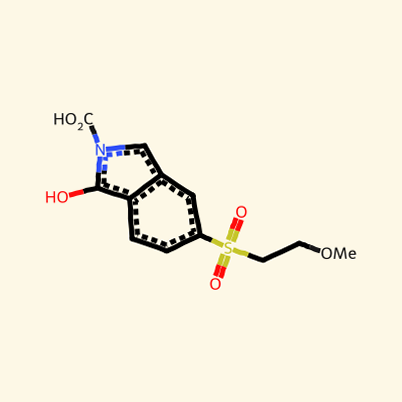 COCCS(=O)(=O)c1ccc2c(O)n(C(=O)O)cc2c1